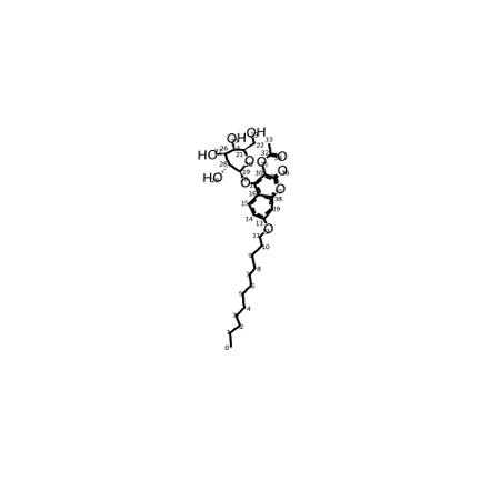 CCCCCCCCCCCCOc1ccc2c(O[C@@H]3O[C@H](CO)[C@H](O)[C@H](O)[C@H]3O)c(OC(C)=O)c(=O)oc2c1